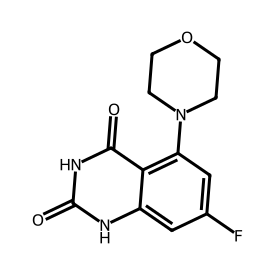 O=c1[nH]c(=O)c2c(N3CCOCC3)cc(F)cc2[nH]1